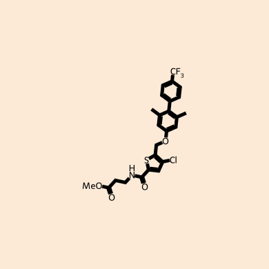 COC(=O)CCNC(=O)c1cc(Cl)c(COc2cc(C)c(-c3ccc(C(F)(F)F)cc3)c(C)c2)s1